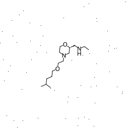 CCNC[C@H]1CN(CCOCCCC(C)C)CCO1